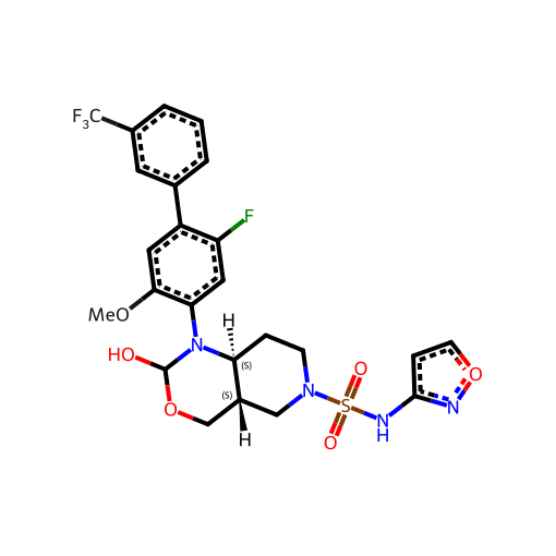 COc1cc(-c2cccc(C(F)(F)F)c2)c(F)cc1N1C(O)OC[C@H]2CN(S(=O)(=O)Nc3ccon3)CC[C@@H]21